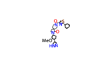 COc1cc(N2CCC3(CCN(C(=O)c4csc(-c5ccccc5)n4)CC3)C2=O)ccc1-c1cn[nH]c1